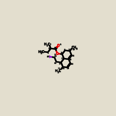 CCC(C)C(=O)OC1CC(C)C=C2C=CC(C)C(CCI)C21